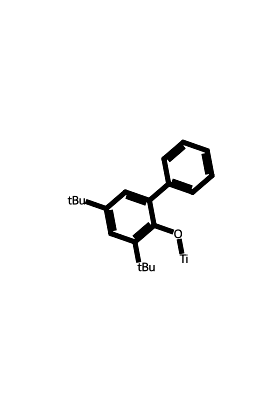 CC(C)(C)c1cc(-c2ccccc2)c([O][Ti])c(C(C)(C)C)c1